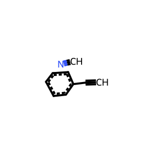 C#Cc1ccccc1.C#N